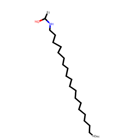 CCCCCCCCCCCCCCCCCCCCCCCCCCCCCNC(O)CC